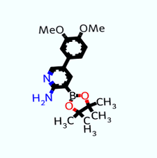 COc1ccc(-c2cnc(N)c(B3OC(C)(C)C(C)(C)O3)c2)cc1OC